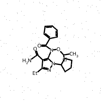 CCc1nn(C2CCCC2)c(N(OC(C)Cl)C(=O)c2ccccc2)c1C(N)=O